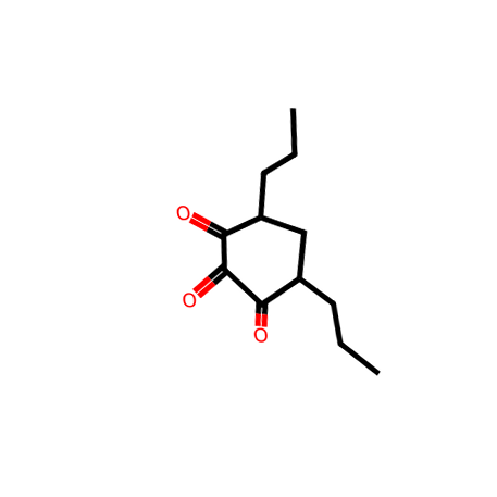 CCCC1CC(CCC)C(=O)C(=O)C1=O